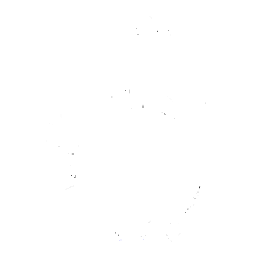 C=C/C1=C\C=N\CCCCCC(=O)NC(Cc2ccc(S(=O)(=O)O)s2)C(=O)NCCCCC(C(=O)NCCCCCC(=O)ON2C(=O)CCC2=O)NC(=O)C(Cc2ccc(S(=O)(=O)O)s2)NC(=O)CCCCCOc2ccc(cc2S(=O)(=O)O)-c2cnc1o2